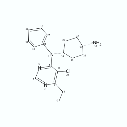 CCc1ncnc(N(c2ccccc2)[C@H]2CC[C@@H](N)CC2)c1Cl